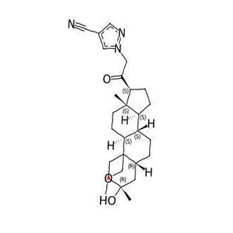 COCC12CC[C@@](C)(O)C[C@H]1CC[C@@H]1[C@@H]2CC[C@]2(C)[C@@H](C(=O)Cn3cc(C#N)cn3)CC[C@@H]12